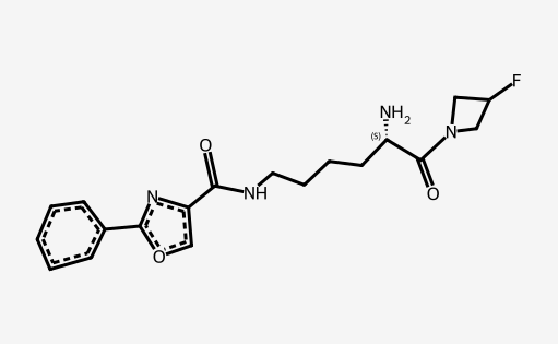 N[C@@H](CCCCNC(=O)c1coc(-c2ccccc2)n1)C(=O)N1CC(F)C1